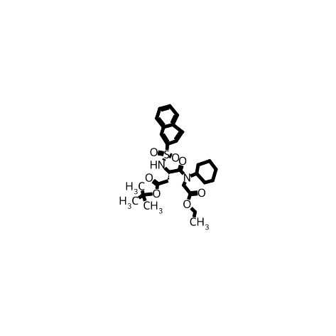 CCOC(=O)CN(C(=O)[C@H](CC(=O)OC(C)(C)C)NS(=O)(=O)c1ccc2ccccc2c1)C1CCCCC1